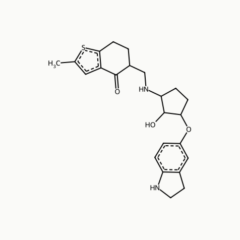 Cc1cc2c(s1)CCC(CNC1CCC(Oc3ccc4c(c3)CCN4)C1O)C2=O